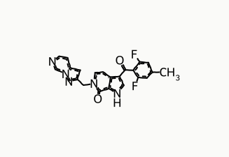 Cc1cc(F)c(C(=O)c2c[nH]c3c(=O)n(Cc4cc5ccncn5n4)ccc23)c(F)c1